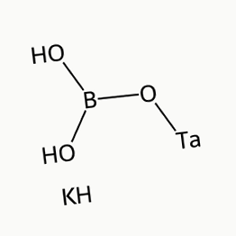 OB(O)[O][Ta].[KH]